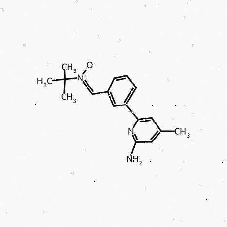 Cc1cc(N)nc(-c2cccc(/C=[N+](\[O-])C(C)(C)C)c2)c1